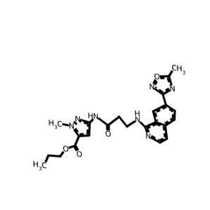 CCCOC(=O)c1cc(NC(=O)CCNc2nccc3ccc(-c4noc(C)n4)cc23)nn1C